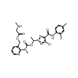 CNCC(=O)OCc1cccnc1N(C)C(=O)OC(C)n1nc(Cl)c(C(=O)Nc2ccc(C)cc2F)n1